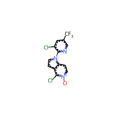 [O-][n+]1ccc2c(ccn2-c2ncc(C(F)(F)F)cc2Cl)c1Cl